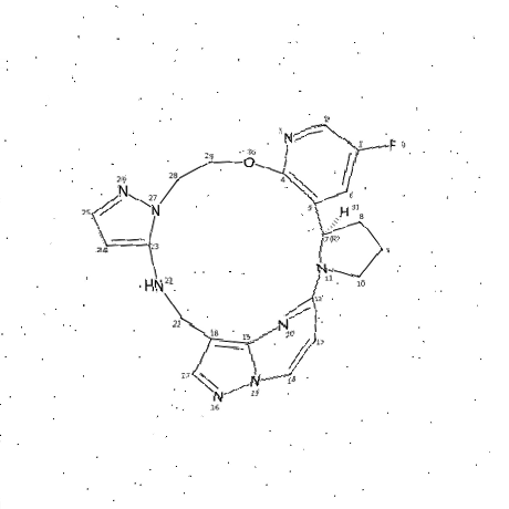 Fc1cnc2c(c1)[C@H]1CCCN1c1ccn3ncc(c3n1)CNc1ccnn1CCO2